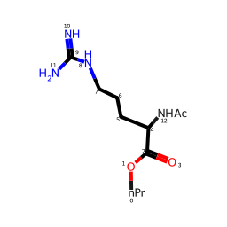 CCCOC(=O)C(CCCNC(=N)N)NC(C)=O